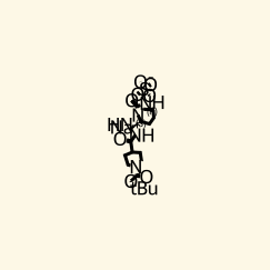 CC(C)(C)OC(=O)N1CCC(C(=O)NC(=N)[C@@H]2CC[C@@H]3CN2C(=O)N3OS(=O)(=O)[O-])CC1.[Na+]